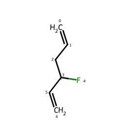 C=CC[C](F)C=C